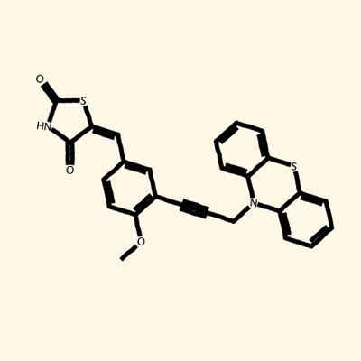 COc1ccc(/C=C2/SC(=O)NC2=O)cc1C#CCN1c2ccccc2Sc2ccccc21